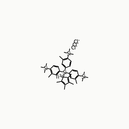 CC1=C(C)[C]([Ti+3])([Si](c2ccc([Si](C)(C)C)c(C)c2)(c2ccc([Si](C)(C)C)c(C)c2)c2ccc([Si](C)(C)C)c(C)c2)C(C)=C1C.[Cl-].[Cl-].[Cl-]